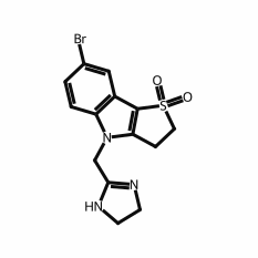 O=S1(=O)CCc2c1c1cc(Br)ccc1n2CC1=NCCN1